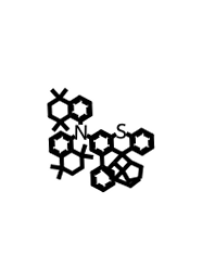 CC1(C)CCC(C)(C)c2c(N(c3cc4c(c(-c5ccccc5)c3)C3(c5ccccc5S4)C4CC5CC6CC3C64C5)c3cccc4c3C(C)(C)CCC4(C)C)cccc21